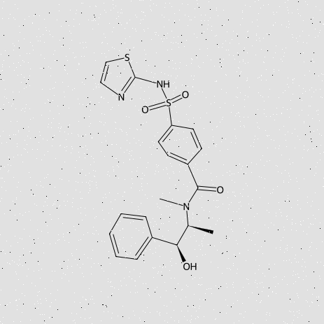 C[C@@H]([C@@H](O)c1ccccc1)N(C)C(=O)c1ccc(S(=O)(=O)Nc2nccs2)cc1